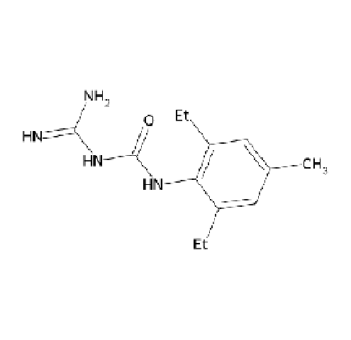 CCc1cc(C)cc(CC)c1NC(=O)NC(=N)N